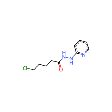 O=C(CCCCCl)NNc1ccccn1